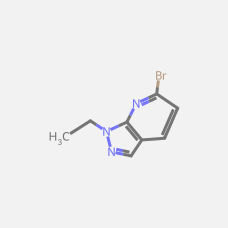 CCn1ncc2ccc(Br)nc21